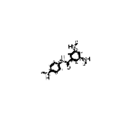 CNc1ccc(NC(=O)c2cc(NC)cc(NC)c2)cc1